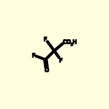 O=C(O)C(F)(F)C(=O)F